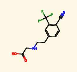 N#Cc1ccc(CCNCC(=O)O)cc1C(F)(F)F